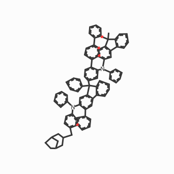 CC1(C)c2ccccc2-c2cc(N(c3ccccc3)c3cc(C4(c5ccccc5)c5ccccc5-c5cc(-c6ccccc6)c(N(c6ccccc6)c6ccc(CC7CC8CCC(C8)C7)cc6)cc54)ccc3-c3ccc(-c4ccccc4)cc3)ccc21